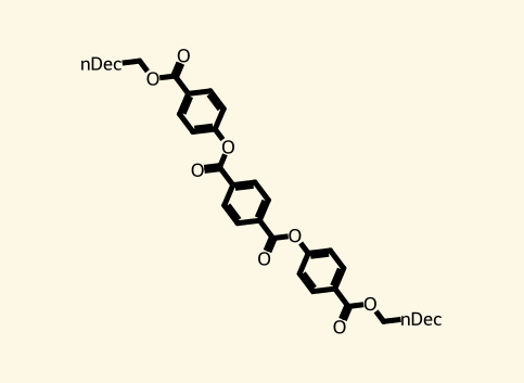 CCCCCCCCCCCOC(=O)c1ccc(OC(=O)c2ccc(C(=O)Oc3ccc(C(=O)OCCCCCCCCCCC)cc3)cc2)cc1